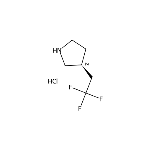 Cl.FC(F)(F)C[C@@H]1CCNC1